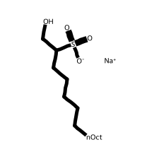 CCCCCCCCCCCCCC(CO)S(=O)(=O)[O-].[Na+]